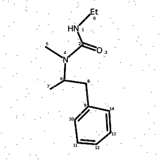 CCNC(=O)N(C)C(C)Cc1ccccc1